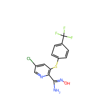 NC(=NO)c1ncc(Cl)cc1Sc1ccc(C(F)(F)F)cc1